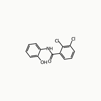 O=C(Nc1ccccc1O)c1cccc(Cl)c1Cl